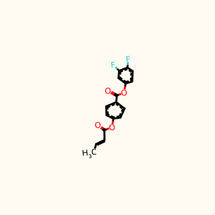 C/C=C/C(=O)Oc1ccc(C(=O)Oc2ccc(F)c(F)c2)cc1